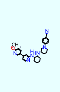 COc1ccc(-c2ccnc(N[C@@H]3CCCC[C@H]3N[C@H]3CCCN(c4ccc(C#N)cc4)C3)c2)cn1